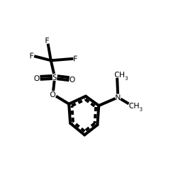 CN(C)c1cccc(OS(=O)(=O)C(F)(F)F)c1